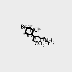 CCOC(=O)CC(CCCN)c1ccc(Br)cc1.Cl